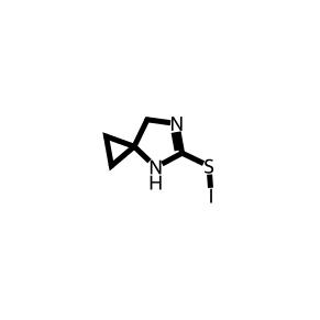 ISC1=NCC2(CC2)N1